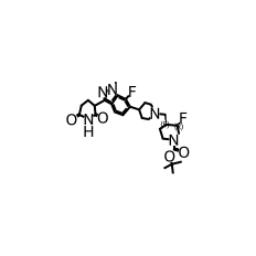 Cn1nc(C2CCC(=O)NC2=O)c2ccc(C3CCN(C[C@@H]4CCN(C(=O)OC(C)(C)C)C[C@@H]4F)CC3)c(F)c21